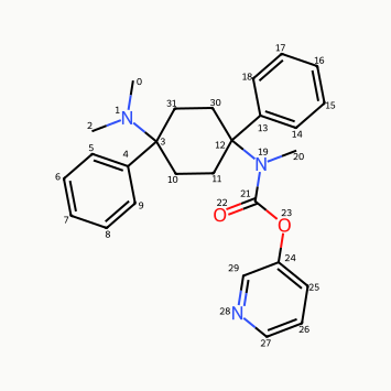 CN(C)C1(c2ccccc2)CCC(c2ccccc2)(N(C)C(=O)Oc2cccnc2)CC1